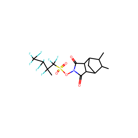 CC1C(C)C2CC1C1C(=O)N(OS(=O)(=O)C(F)(F)C(C)(F)C(F)(F)C(F)(F)F)C(=O)C21